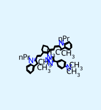 CCCN1/C(=C/C=C2\CCCC(/C=C/C3=[N+](CCC)c4ccccc4C3(C)C)=C2n2cc(-c3ccc(N(C)C)cc3)nn2)C(C)(C)c2ccccc21